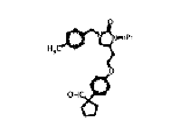 CCCN1C(=O)N(Cc2ccc(C)cc2)CC1CCOc1ccc(C2(C=O)CCCC2)cc1